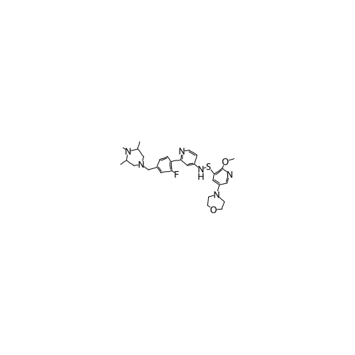 COc1ncc(N2CCOCC2)cc1SNc1ccnc(-c2ccc(CN3CC(C)N(C)C(C)C3)cc2F)c1